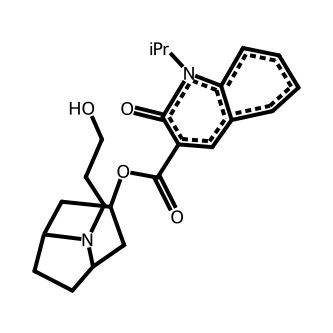 CC(C)n1c(=O)c(C(=O)OC2CC3CCC(C2)N3CCCO)cc2ccccc21